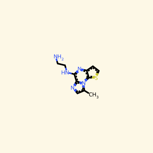 Cc1cnc2c(NCCN)nc3ccsc3n12